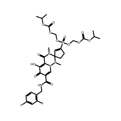 CC(C)OC(=O)OCOP(=O)(OCOC(=O)OC(C)C)C1=CC2(CC1)N(C)C(=O)c1c(O)c(=O)c(C(=O)NCc3ccc(F)cc3F)cn1N2C